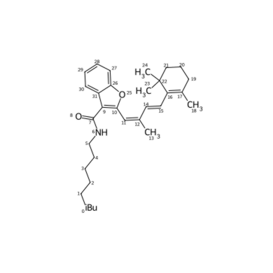 CCC(C)CCCCCNC(=O)c1c(C=C(C)C=CC2=C(C)CCCC2(C)C)oc2ccccc12